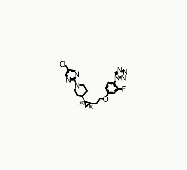 Fc1cc(OCC[C@H]2C[C@H]2C2CCN(c3ncc(Cl)cn3)CC2)ccc1-n1cnnn1